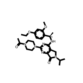 CCOc1ccc([C@@H](C)Nc2nc(N3CCN(C(C)=O)CC3)nc3c2CN(C(C)C)C3=O)c(OC)c1